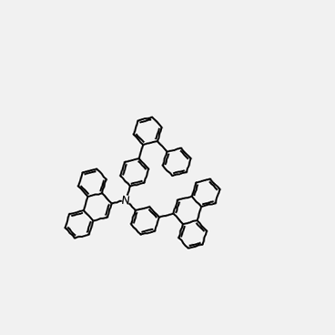 c1ccc(-c2ccccc2-c2ccc(N(c3cccc(-c4cc5ccccc5c5ccccc45)c3)c3cc4ccccc4c4ccccc34)cc2)cc1